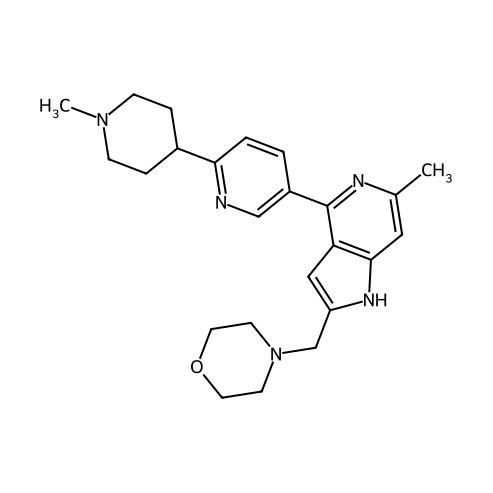 Cc1cc2[nH]c(CN3CCOCC3)cc2c(-c2ccc(C3CCN(C)CC3)nc2)n1